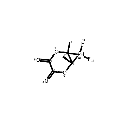 CC12OC(=O)C(=O)OC1(C)[PH]2(F)F